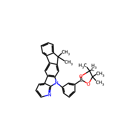 CC1(C)c2ccccc2-c2cc3c4cccnc4n(-c4cccc(B5OC(C)(C)C(C)(C)O5)c4)c3cc21